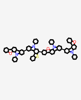 c1ccc(-n2c3ccc(-c4ccc5c(c4)c4ccc6c7ccc(-c8cc9c(c%10cc(-c%11ccc%12c(c%11)c%11ccc%13c%14ccccc%14oc%13c%11n%12-c%11ccccc%11)ccc%10n9-c9ccccc9)c9c8sc8ccccc89)cc7oc6c4n5-c4ccccc4)cc3c3c4c(ccc32)oc2ccccc24)cc1